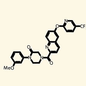 COc1cccc(N2CCN(C(=O)c3ccc4cc(Oc5ccc(C(F)(F)F)cn5)ccc4n3)CC2=O)c1